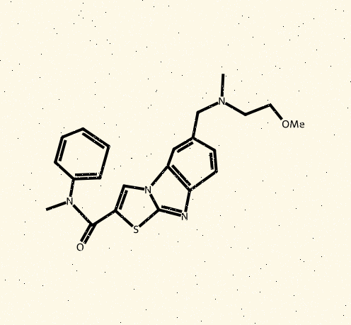 COCCN(C)Cc1ccc2nc3sc(C(=O)N(C)c4ccccc4)cn3c2c1